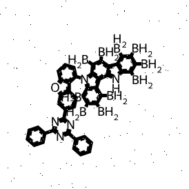 Bc1c(B)c(B)c2c([nH]c3c2c(B)c(B)c2c3c3c(B)c(B)c(B)c(B)c3n2-c2cccc3oc4cc(-c5nc(-c6ccccc6)nc(-c6ccccc6)n5)ccc4c23)c1B